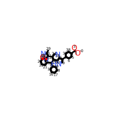 COC(=O)c1ccc(-c2c[nH]c3c(C(c4ccccc4)c4ccccn4)c(-c4c(C)noc4C)cnc23)cc1